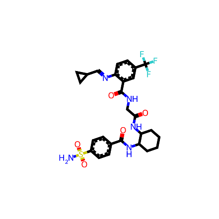 NS(=O)(=O)c1ccc(C(=O)NC2CCCCC2NC(=O)CNC(=O)c2cc(C(F)(F)F)ccc2N=CC2CC2)cc1